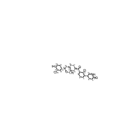 O=C(c1cccc(-c2ccc(=O)[nH]c2)c1Cl)N1CCN2C[C@@H](c3ccc(F)c(Cl)c3)OC[C@@H]2C1